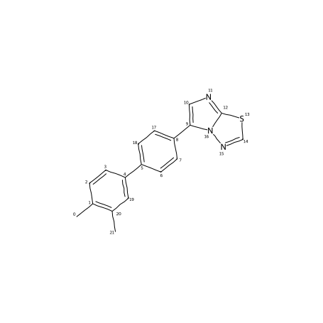 Cc1ccc(-c2ccc(-c3cnc4scnn34)cc2)cc1C